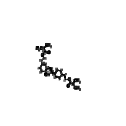 C=C(C)C(=O)OCCc1ccc(N=Nc2cc(CCOC(=O)C(=C)C)ccc2O)cc1